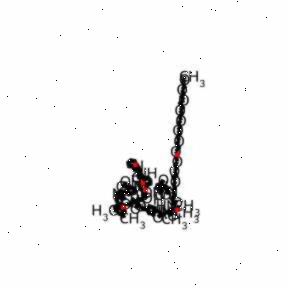 COCCOCCOCCOCCOCCOCCOCCOCCOCCOCCOCCN(CCC(=O)N[C@H](C(=O)N[C@@H](C)C(=O)Nc1ccc(COC(=O)N(CCOC23CC4(C)CC(C)(CC(Cn5ncc(-c6ccc(N7CCc8cccc(C(=O)Nc9nc%10ccccc%10s9)c8C7)nc6C(=O)O)c5C)(C4)C2)C3)CCS(=O)(=O)O)cc1)C(C)C)C(=O)CN1C(=O)C=CC1=O